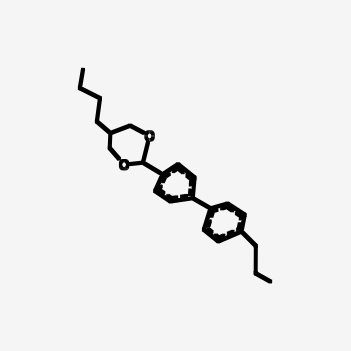 CCCCC1COC(c2ccc(-c3ccc(CCC)cc3)cc2)OC1